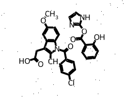 COc1ccc2c(c1)c(CC(=O)O)c(C)n2C(=O)c1ccc(Cl)cc1.O=C(Oc1ncc[nH]1)c1ccccc1O